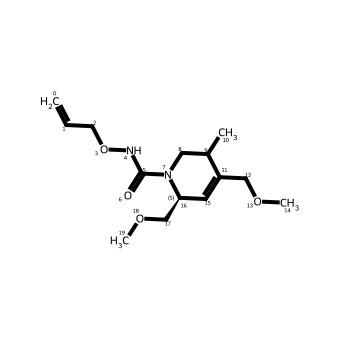 C=CCONC(=O)N1CC(C)C(COC)=C[C@H]1COC